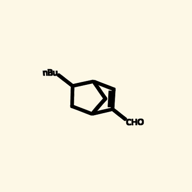 CCCCC1CC2CC1C=C2C=O